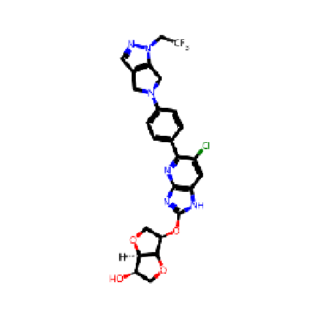 O[C@@H]1COC2[C@H](Oc3nc4nc(-c5ccc(N6Cc7cnn(CC(F)(F)F)c7C6)cc5)c(Cl)cc4[nH]3)CO[C@@H]21